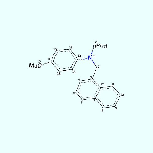 CCCCCN(Cc1cccc2ccccc12)c1ccc(OC)cc1